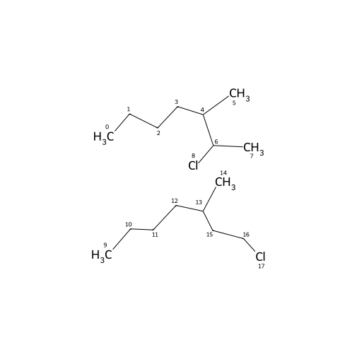 CCCCC(C)C(C)Cl.CCCCC(C)CCCl